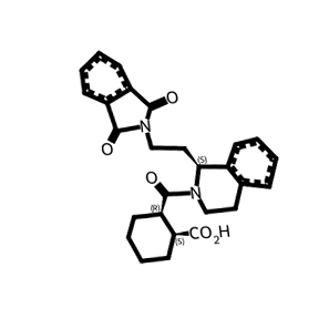 O=C(O)[C@H]1CCCC[C@H]1C(=O)N1CCc2ccccc2[C@@H]1CCN1C(=O)c2ccccc2C1=O